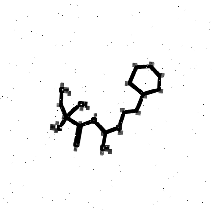 CCC(C)(C)C(=O)OC(C)OCCC1CCCCC1